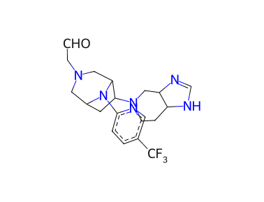 O=CCN1CC2CC(N3CCC4NC=NC4C3)C(C1)N2c1ccc(C(F)(F)F)cn1